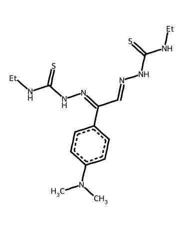 CCNC(=S)N/N=C/C(=N/NC(=S)NCC)c1ccc(N(C)C)cc1